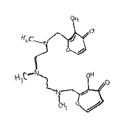 CN(CCN(C)Cc1occc(=O)c1O)CCN(C)Cc1occc(=O)c1O